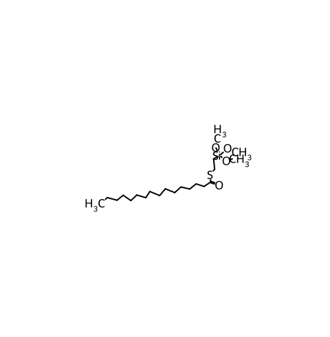 CCCCCCCCCCCCCCCC(=O)SCC[Si](OC)(OC)OC